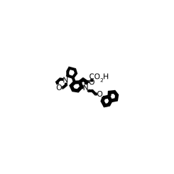 O=C(O)Oc1cc2c(C3CCCCC3N3CCOCC3)cccc2n1CCCOc1cccc2ccccc12